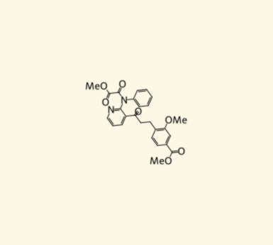 COC(=O)C(=O)N(c1ccccc1)c1ncccc1C(=O)CCc1ccc(C(=O)OC)cc1OC